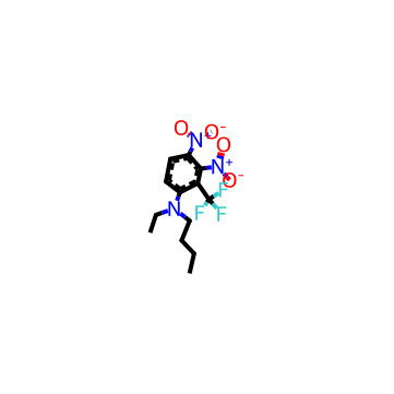 CCCCN(CC)c1ccc([N+](=O)[O-])c([N+](=O)[O-])c1C(F)(F)F